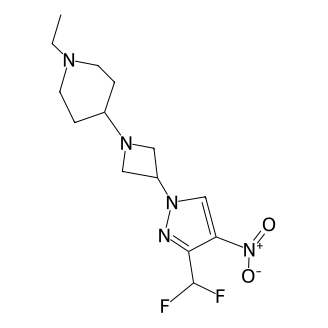 CCN1CCC(N2CC(n3cc([N+](=O)[O-])c(C(F)F)n3)C2)CC1